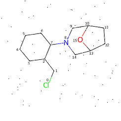 ClCC1CCCCC1N1CC2CCC(C1)O2